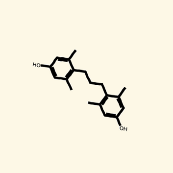 Cc1cc(O)cc(C)c1CCCc1c(C)cc(O)cc1C